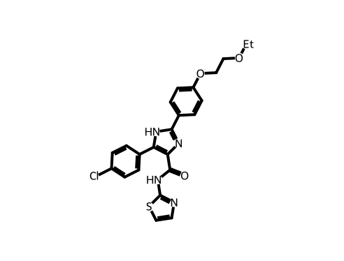 CCOCCOc1ccc(-c2nc(C(=O)Nc3nccs3)c(-c3ccc(Cl)cc3)[nH]2)cc1